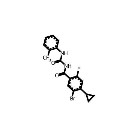 O=C(NC(=O)c1cc(Br)c(C2CC2)cc1F)Nc1ccccc1C(F)(F)F